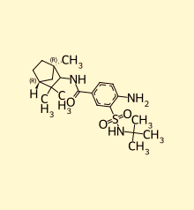 CC(C)(C)NS(=O)(=O)c1cc(C(=O)NC2C(C)(C)[C@@H]3CC[C@]2(C)C3)ccc1N